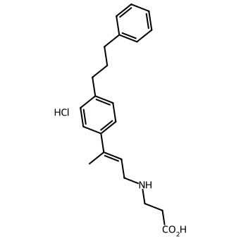 CC(=CCNCCC(=O)O)c1ccc(CCCc2ccccc2)cc1.Cl